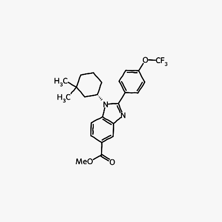 COC(=O)c1ccc2c(c1)nc(-c1ccc(OC(F)(F)F)cc1)n2[C@H]1CCCC(C)(C)C1